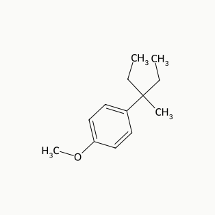 CCC(C)(CC)c1ccc(OC)cc1